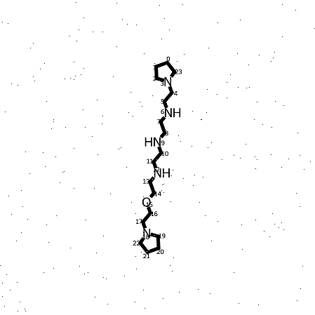 C1CCN(CCNCCNCCNCCOCCN2CCCC2)C1